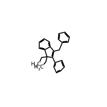 CCC1(CC)C(c2ccccc2)=C(Cc2ccccc2)c2ccccc21